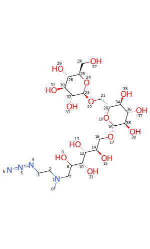 CN(CCN=[N+]=[N-])CC(O)[C@@H](O)[C@H](O)[C@H](O)CO[C@@H]1O[C@H](CO[C@@H]2O[C@H](CO)[C@@H](O)[C@H](O)[C@H]2O)[C@@H](O)[C@H](O)[C@H]1O